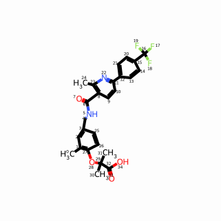 Cc1cc(CNC(=O)c2ccc(-c3ccc(C(F)(F)F)cc3)nc2C)ccc1OC(C)(C)C(=O)O